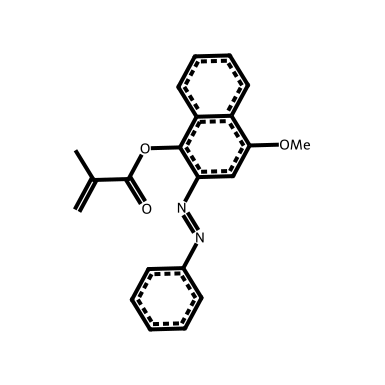 C=C(C)C(=O)Oc1c(N=Nc2ccccc2)cc(OC)c2ccccc12